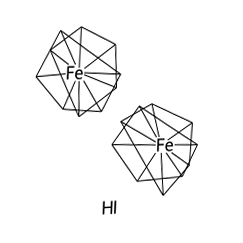 I.[CH]12[CH]3[CH]4[CH]5[CH]1[Fe]23451678[CH]2[CH]1[CH]6[CH]7[CH]28.[CH]12[CH]3[CH]4[CH]5[CH]1[Fe]23451678[CH]2[CH]1[CH]6[CH]7[CH]28